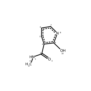 CNC(=O)c1cccnc1O